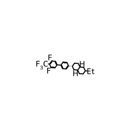 CCC1CC[C@@H]2C[C@H](c3ccc(-c4cc(F)c(C(F)(F)F)c(F)c4)cc3)CC[C@@H]2C1